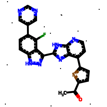 CC(=O)c1ccc(-c2ccnc3[nH]c(-c4n[nH]c5ccc(-c6cncnc6)c(F)c45)nc23)s1